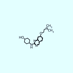 CN(C)CCOc1ccc2cnc(NC3CCC(O)CC3)nc2c1